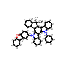 CC1(C)c2ccccc2-c2c1c1c3ccccc3n(-c3ccccc3)c1c1c3ccccc3n(-c3ccc4oc5ccccc5c4c3)c21